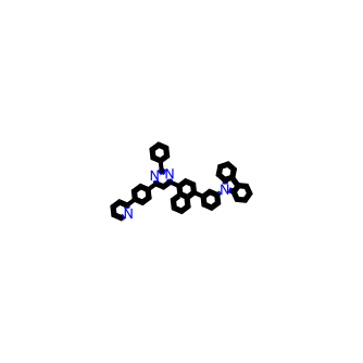 c1ccc(-c2nc(-c3ccc(-c4ccccn4)cc3)cc(-c3ccc(-c4cccc(-n5c6ccccc6c6ccccc65)c4)c4ccccc34)n2)cc1